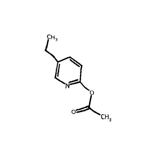 CCc1ccc(OC(C)=O)nc1